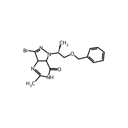 CC1=NC2C(Br)=NN([C@@H](C)COCc3ccccc3)C2C(=O)N1